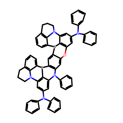 c1ccc(N(c2ccccc2)c2cc3c4c(c2)N2CCCc5cccc(c52)B4c2cc4c(cc2O3)N(c2ccccc2)c2cc(N(c3ccccc3)c3ccccc3)cc3c2B4c2cccc4c2N3CCC4)cc1